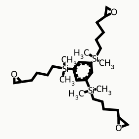 C[Si](C)(CCCCC1CO1)c1cc([Si](C)(C)CCCCC2CO2)cc([Si](C)(C)CCCCC2CO2)c1